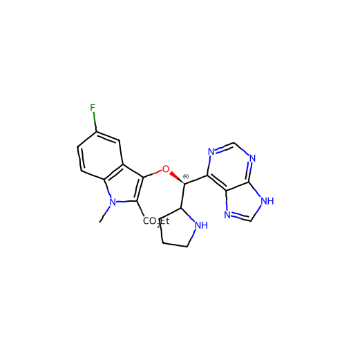 CCOC(=O)c1c(O[C@@H](c2ncnc3[nH]cnc23)C2CCCN2)c2cc(F)ccc2n1C